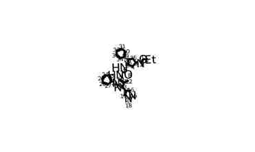 CCON=C1C[C@@H](NC(=O)Nc2c(C)c(-c3cnn(C)c3)nn2-c2ccccc2)[C@H](c2ccccc2)C1